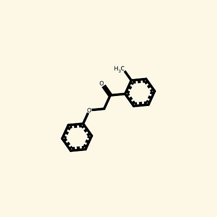 Cc1ccccc1C(=O)COc1ccccc1